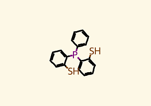 Sc1ccccc1P(c1ccccc1)c1ccccc1S